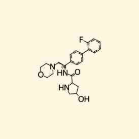 O=C(N[C@@H](CN1CCOCC1)c1ccc(-c2ccccc2F)cc1)C1CC(O)CN1